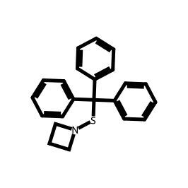 c1ccc(C(SN2CCC2)(c2ccccc2)c2ccccc2)cc1